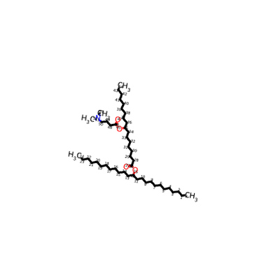 CCCCCCCCCCCCC(CCCCCCCCCCCC)OC(=O)CCCCCCCC(CCCCCCCCC)OC(=O)CCCN(C)C